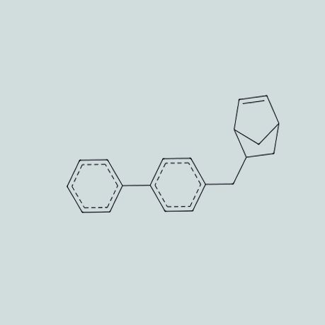 C1=CC2CC1CC2Cc1ccc(-c2ccccc2)cc1